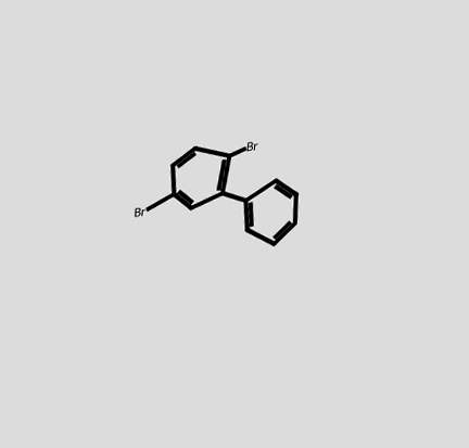 Brc1ccc(Br)c(-c2ccccc2)c1